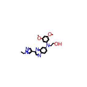 CCn1cc(-c2cnc3ccc(N(CCO)c4cc(OC)cc(OC)c4)cc3n2)cn1